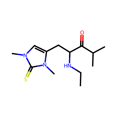 CCNC(Cc1cn(C)c(=S)n1C)C(=O)C(C)C